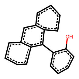 Oc1ccccc1-c1c2ccccc2cc2ccccc12